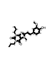 CCCn1c(=O)c2c(nc(/C=C/c3ccc(O)c(OC)c3)n2C)n(CCC)c1=O